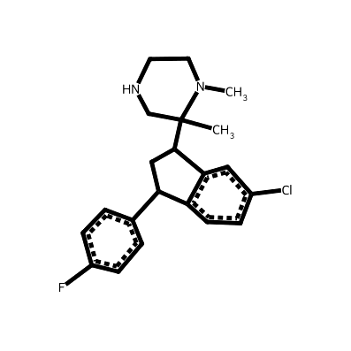 CN1CCNCC1(C)C1CC(c2ccc(F)cc2)c2ccc(Cl)cc21